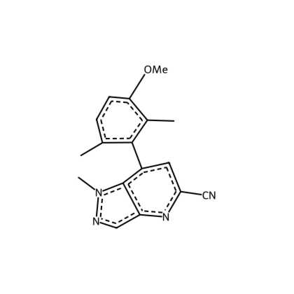 COc1ccc(C)c(-c2cc(C#N)nc3cnn(C)c23)c1C